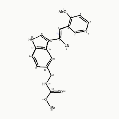 COc1ccncc1/C=C(\C#N)c1c[nH]c2ccc(CNC(=O)OC(C)(C)C)cc12